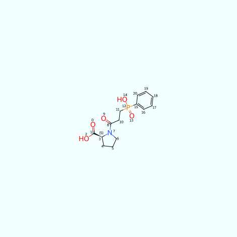 O=C(O)[C@@H]1CCCN1C(=O)CCP(=O)(O)c1ccccc1